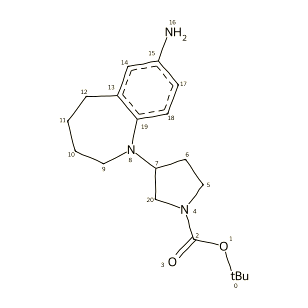 CC(C)(C)OC(=O)N1CCC(N2CCCCc3cc(N)ccc32)C1